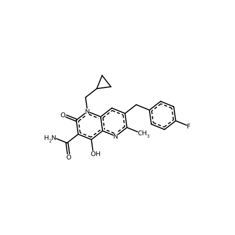 Cc1nc2c(O)c(C(N)=O)c(=O)n(CC3CC3)c2cc1Cc1ccc(F)cc1